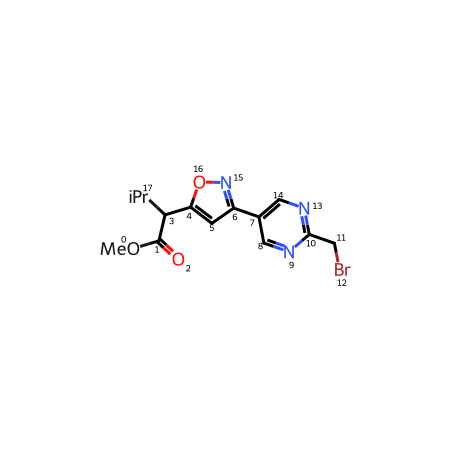 COC(=O)C(c1cc(-c2cnc(CBr)nc2)no1)C(C)C